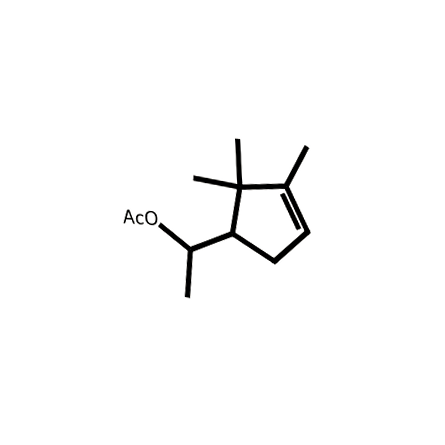 CC(=O)OC(C)C1CC=C(C)C1(C)C